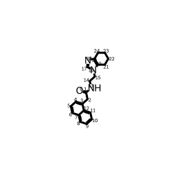 O=C(Cc1cccc2ccccc12)NCCn1cnc2c1CCCC2